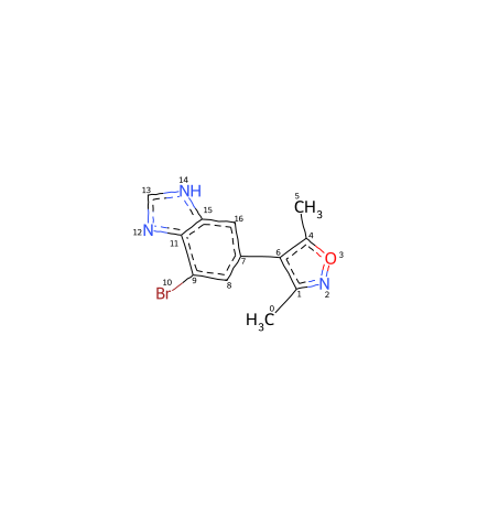 Cc1noc(C)c1-c1cc(Br)c2nc[nH]c2c1